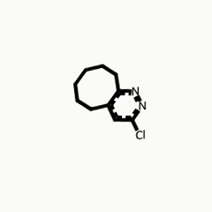 Clc1cc2c(nn1)CCCCCC2